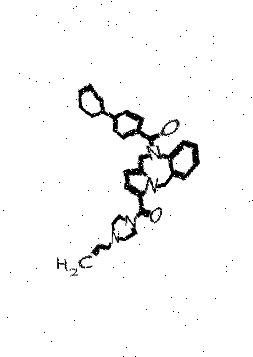 C=CCN1CCN(C(=O)c2ccc3n2Cc2ccccc2N(C(=O)c2ccc(C4CCCCC4)cc2)C3)CC1